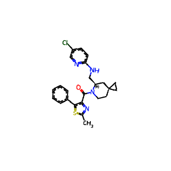 Cc1nc(C(=O)N2CCC3(CC3)C[C@@H]2CNc2ccc(Cl)cn2)c(-c2ccccc2)s1